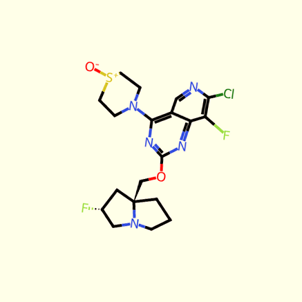 [O-][S+]1CCN(c2nc(OC[C@@]34CCCN3C[C@H](F)C4)nc3c(F)c(Cl)ncc23)CC1